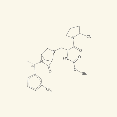 C[C@@H](c1cccc(C(F)(F)F)c1)N1C(=O)C2CC1CN2CC(NC(=O)OC(C)(C)C)C(=O)N1CCCC1C#N